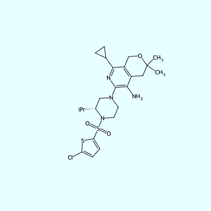 CC(C)[C@@H]1CN(c2nc(C3CC3)c3c(c2N)CC(C)(C)OC3)CCN1S(=O)(=O)c1ccc(Cl)s1